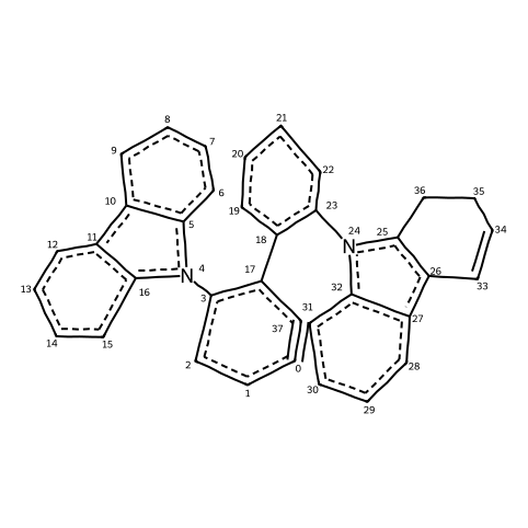 c1ccc(-n2c3ccccc3c3ccccc32)c(-c2ccccc2-n2c3c(c4ccccc42)C=CCC3)c#1